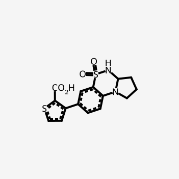 O=C(O)c1sccc1-c1ccc2c(c1)S(=O)(=O)NC1CCCN21